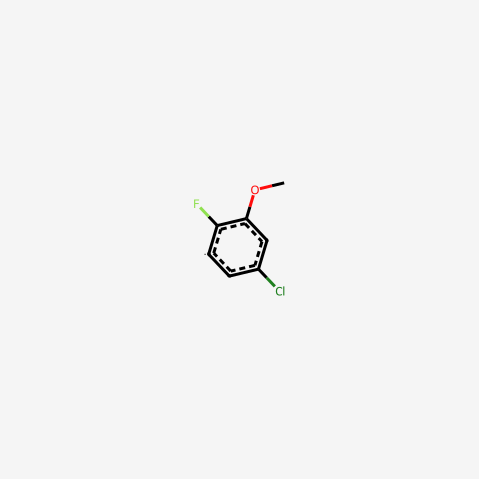 COc1cc(Cl)c[c]c1F